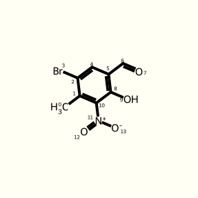 Cc1c(Br)cc(C=O)c(O)c1[N+](=O)[O-]